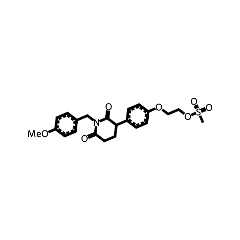 COc1ccc(CN2C(=O)CCC(c3ccc(OCCOS(C)(=O)=O)cc3)C2=O)cc1